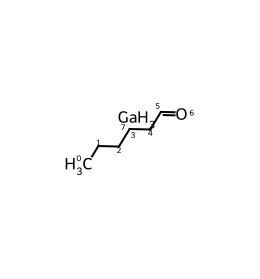 CCCCCC=O.[GaH3]